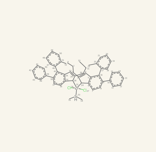 CCCC1=Cc2c(ccc(-c3ccccc3)c2-c2ccccc2C)[CH]1[Zr]([Cl])([Cl])([CH]1C(CCC)=Cc2c1ccc(-c1ccccc1)c2-c1ccccc1C)[SiH](C)C